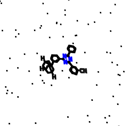 N#Cc1cccc(-c2nc(-c3ccccc3)nc(-c3cccc(C45C[C@H]6C[C@@H](C4)C[C@@H](C5)C6)c3)n2)c1